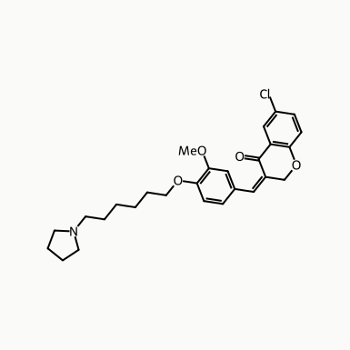 COc1cc(C=C2COc3ccc(Cl)cc3C2=O)ccc1OCCCCCCN1CCCC1